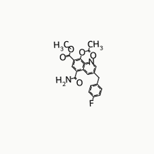 COC(=O)c1cc(C(N)=O)c2cc(Cc3ccc(F)cc3)cnc2c1OC(C)=O